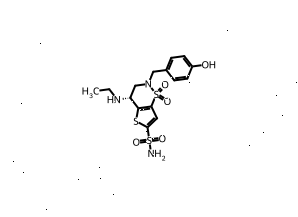 CCN[C@@H]1CN(Cc2ccc(O)cc2)S(=O)(=O)c2cc(S(N)(=O)=O)sc21